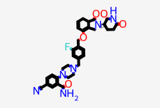 N#Cc1ccc(N2CCN(Cc3ccc(COC4=C5CN([C@H]6CCC(=O)NC6=O)C(=O)C5CC=C4)c(F)c3)CC2)c(C(N)=O)c1